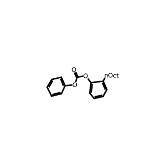 CCCCCCCCc1ccccc1OC(=O)Oc1ccccc1